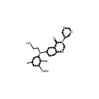 COc1cc(C)cc(N(CCO)c2ccc3ncn(-c4cncnc4)c(=O)c3c2)c1F